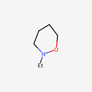 [CH2]CN1CCCCO1